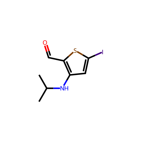 CC(C)Nc1cc(I)sc1C=O